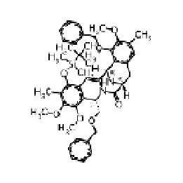 COc1c(C)cc2c(c1OCc1ccccc1)[C@H]1N[C@H](C2)C(=O)N2C1=Cc1c(O[Si](C)(C)C(C)(C)C)c(C)c(OC)c(OC)c1[C@H]2COCc1ccccc1